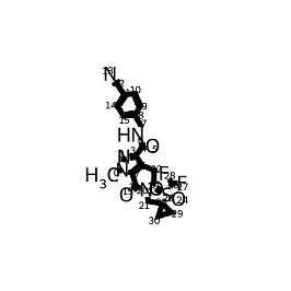 Cn1nc(C(=O)NCc2ccc(C#N)cc2)c2c1C(=O)N(CC1(S(=O)(=O)C(F)F)CC1)CC2